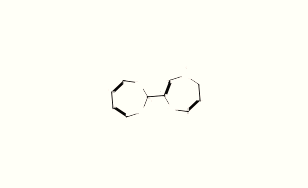 C1=COC(C2=COCC=CO2)SC=C1